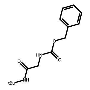 CC(C)(C)NC(=O)CNC(=O)OCc1ccccc1